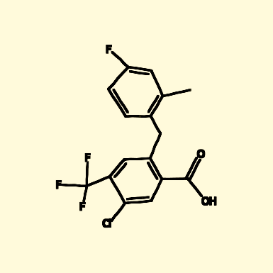 Cc1cc(F)ccc1Cc1cc(C(F)(F)F)c(Cl)cc1C(=O)O